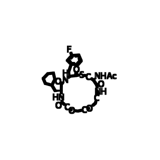 CC(=O)N[C@H]1CSC(=O)[C@H](Cc2cccc(F)c2)NC(=O)[C@H](CC2CCCCC2)NC(=O)COCCOCCNC1=O